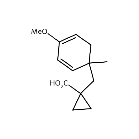 COC1=CCC(C)(CC2(C(=O)O)CC2)C=C1